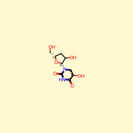 O=c1[nH]c(=O)n([C@@H]2O[C@H](CO)CC2O)cc1O